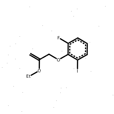 C=C(COc1c(F)cccc1I)OCC